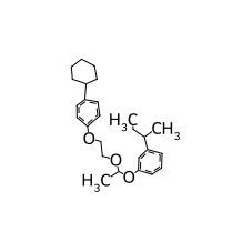 CCC(C)c1cccc(OC(C)OCCOc2ccc(C3CCCCC3)cc2)c1